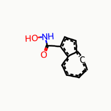 O=C(NO)c1ccc2cccccc1-2